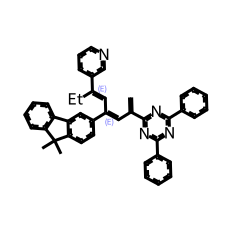 C=C(/C=C(\C=C(/CC)c1cccnc1)c1ccc2c(c1)-c1ccccc1C2(C)C)c1nc(-c2ccccc2)nc(-c2ccccc2)n1